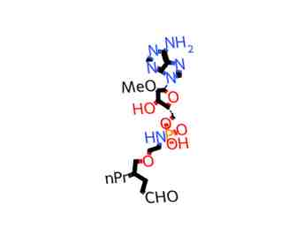 CCCC(CCC=O)COCCNP(=O)(O)OC[C@H]1O[C@@H](n2cnc3c(N)ncnc32)C(OC)C1O